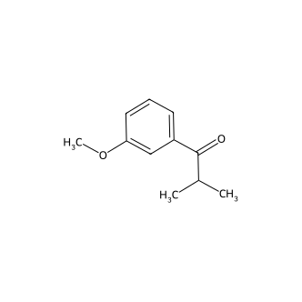 COc1cccc(C(=O)C(C)C)c1